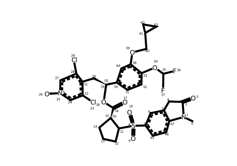 CN1C(=O)Cc2cc(S(=O)(=O)C3CCC[C@H]3C(=O)O[C@@H](Cc3c(Cl)c[n+]([O-])cc3Cl)c3ccc(OC(F)F)c(OCC4CC4)c3)ccc21